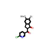 CCc1cc2c(cc1OC)CC(C(=O)c1ccc(Cl)nc1)C2=O